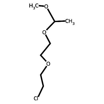 COC(C)OCCOCCCl